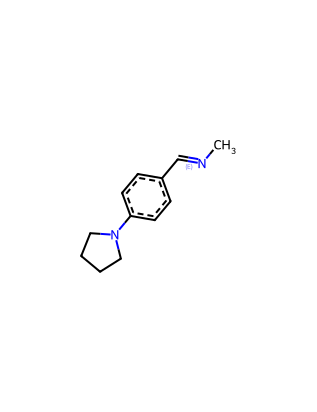 C/N=C/c1ccc(N2CCCC2)cc1